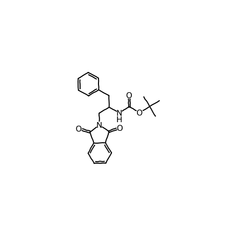 CC(C)(C)OC(=O)NC(Cc1ccccc1)CN1C(=O)c2ccccc2C1=O